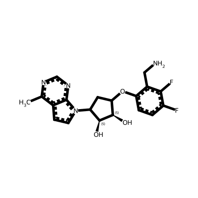 Cc1ncnc2c1ccn2C1CC(Oc2ccc(F)c(F)c2CN)[C@@H](O)[C@H]1O